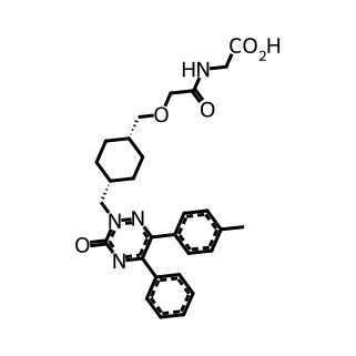 Cc1ccc(-c2nn(C[C@H]3CC[C@@H](COCC(=O)NCC(=O)O)CC3)c(=O)nc2-c2ccccc2)cc1